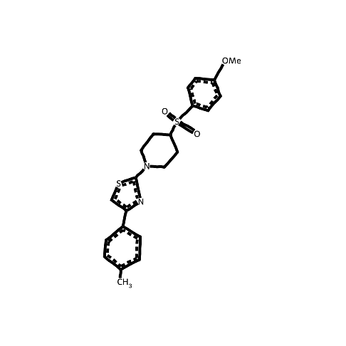 COc1ccc(S(=O)(=O)C2CCN(c3nc(-c4ccc(C)cc4)cs3)CC2)cc1